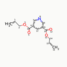 C=CCOC(=O)c1cncc(C(=O)OCC=C)c1